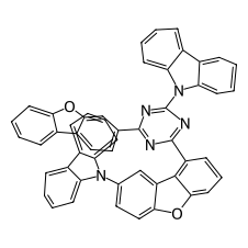 c1ccc2c(c1)oc1cc(-c3nc(-c4cccc5oc6ccc(-n7c8ccccc8c8ccccc87)cc6c45)nc(-n4c5ccccc5c5ccccc54)n3)ccc12